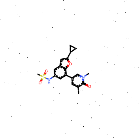 Cc1cc(-c2cc(NS(C)(=O)=O)cc3cc(C4CC4)oc23)cn(C)c1=O